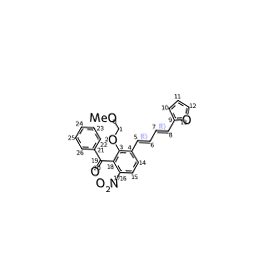 COCOc1c(/C=C/C=C/c2ccco2)ccc([N+](=O)[O-])c1C(=O)c1ccccc1